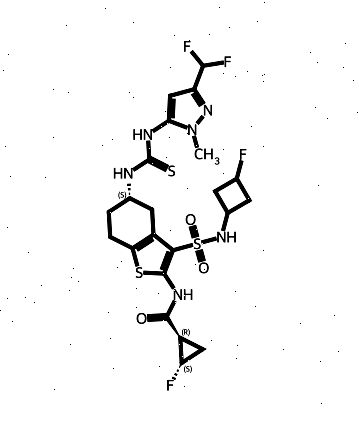 Cn1nc(C(F)F)cc1NC(=S)N[C@H]1CCc2sc(NC(=O)[C@H]3C[C@@H]3F)c(S(=O)(=O)NC3CC(F)C3)c2C1